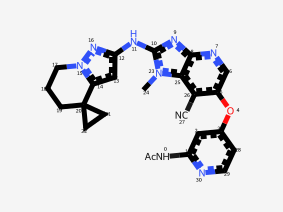 CC(=O)Nc1cc(Oc2cnc3nc(Nc4cc5n(n4)CCCC54CC4)n(C)c3c2C#N)ccn1